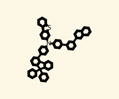 c1ccc(C2(c3ccccc3)c3ccccc3-c3c(-c4ccc(N(c5ccc(-c6cccc(-c7ccc8ccccc8c7)c6)cc5)c5ccc6c(c5)sc5ccccc56)cc4)cccc32)cc1